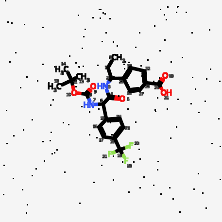 CCC(NC(=O)C(NC(=O)OC(C)(C)C)c1ccc(C(F)(F)F)cc1)c1ccc(C(=O)O)cc1